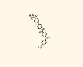 NS(=O)(=O)C1CCN(c2ccc(S(=O)(=O)N3CCC(Nc4ccc(C(F)(F)F)cn4)CC3)cc2)CC1